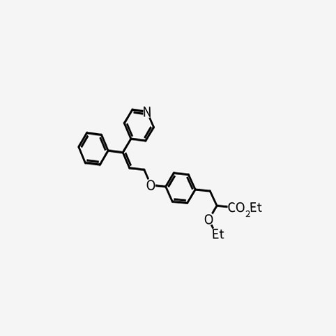 CCOC(=O)C(Cc1ccc(OCC=C(c2ccccc2)c2ccncc2)cc1)OCC